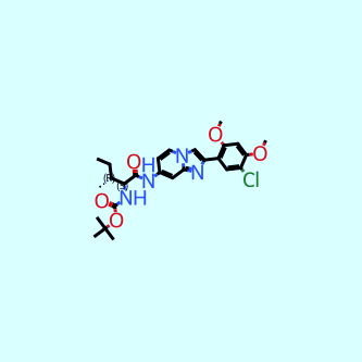 CC[C@@H](C)[C@H](NC(=O)OC(C)(C)C)C(=O)Nc1ccn2cc(-c3cc(Cl)c(OC)cc3OC)nc2c1